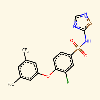 O=S(=O)(Nc1ncns1)c1ccc(Oc2cc(C(F)(F)F)cc(C(F)(F)F)c2)c(F)c1